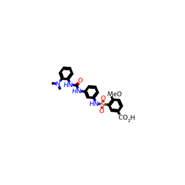 COc1ccc(C(=O)O)cc1S(=O)(=O)Nc1cccc(NC(=O)Nc2ccccc2N(C)C)c1